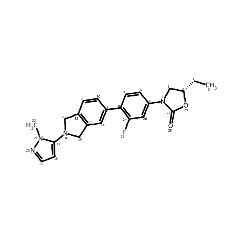 CC[C@H]1CN(c2ccc(-c3ccc4c(c3)CN(c3ccnn3C)C4)c(F)c2)C(=O)O1